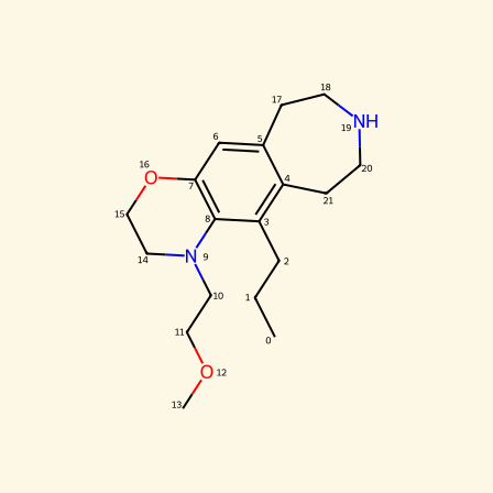 CCCc1c2c(cc3c1N(CCOC)CCO3)CCNCC2